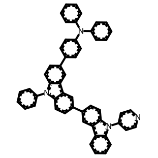 c1ccc(N(c2ccccc2)c2ccc(-c3ccc4c(c3)c3cc(-c5ccc6c(c5)c5ccccc5n6-c5ccncc5)ccc3n4-c3ccccc3)cc2)cc1